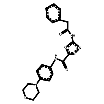 O=C(Cc1ccccc1)Nc1nnc(C(=O)Nc2ccc(N3CCOCC3)cc2)o1